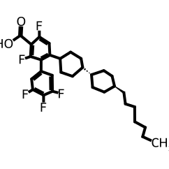 CCCCCCC[C@H]1CC[C@H](C2CCC(c3cc(F)c(C(=O)O)c(F)c3-c3cc(F)c(F)c(F)c3)CC2)CC1